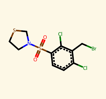 O=S(=O)(c1ccc(Cl)c(CBr)c1Cl)N1CCSC1